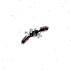 Cc1cc(/C=C/C(F)(F)C(F)(F)C(F)(F)C(F)(F)C(F)(F)C(F)(F)F)cc(C)c1N1CCN(c2c(C)cc(/C=C/C(F)(F)C(F)(F)C(F)(F)C(F)(F)C(F)(F)C(F)(F)F)cc2C)C1C